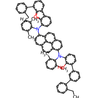 CCc1ccccc1-c1cccc(-c2cccc(N(c3c(C)cccc3C)c3ccc4ccc5c(N(c6c(C)cccc6C)c6cccc7c6oc6c(-c8ccccc8CC)cccc67)ccc6ccc3c4c65)c2O)c1